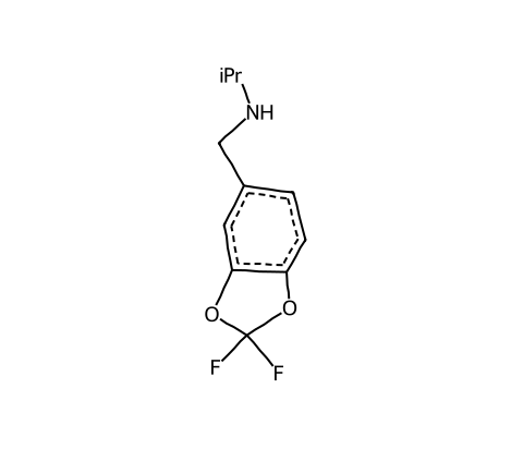 CC(C)NCc1ccc2c(c1)OC(F)(F)O2